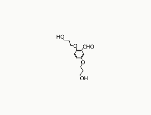 O=Cc1cc(OCCCO)ccc1OCCCO